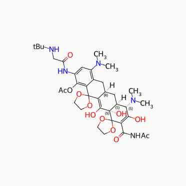 CC(=O)NC(=O)C1=C(O)[C@@H](N(C)C)[C@@H]2C[C@@H]3Cc4c(N(C)C)cc(NC(=O)CNC(C)(C)C)c(OC(C)=O)c4C4(OCCO4)C3=C(O)[C@]2(O)C12OCCO2